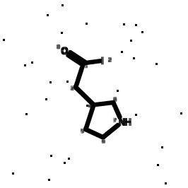 O=C(I)CC1CCNC1